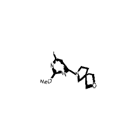 COc1nc(I)cc(N2CCC3(COC3)C2)n1